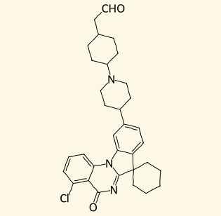 O=CCC1CCC(N2CCC(c3ccc4c(c3)-n3c(nc(=O)c5c(Cl)cccc53)C43CCCCC3)CC2)CC1